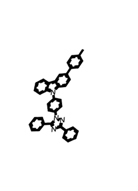 Cc1ccc(-c2ccc3c(c2)c2ccccc2n3-c2ccc(-n3nc(-c4ccccc4)nc3-c3ccccc3)cc2)cc1